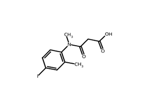 Cc1cc(I)ccc1N(C)C(=O)CC(=O)O